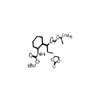 COC(C)OCOC(CC[C@@H]1COC(=O)O1)C1CCCCC1NC(=O)OC(C)(C)C